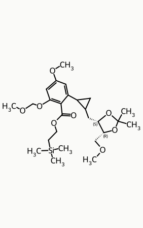 COCOc1cc(OC)cc(C2CC2C[C@@H]2OC(C)(C)O[C@@H]2COC)c1C(=O)OCC[Si](C)(C)C